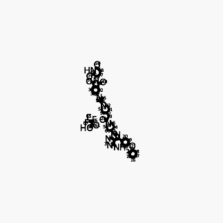 Nc1ncnc2c1c(-c1ccc(Oc3ccccc3)cc1)nn2C1CCN(C(=O)CC2CCN(C3CN(c4ccc5c(c4)C(=O)N(C4CCC(=O)NC4=O)C5=O)C3)CC2)CC1.O=C(O)C(F)(F)F